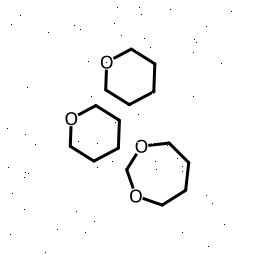 C1CCOCC1.C1CCOCC1.C1CCOCOC1